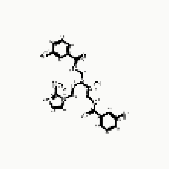 O=C(OC[C@@H](O)[C@H](COC(=O)c1cccc(Br)c1)OCn1ccnc1[N+](=O)[O-])c1cccc(Br)c1